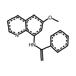 C=C(Nc1cc(OC)cc2cccnc12)c1ccccc1